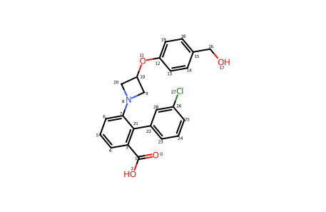 O=C(O)c1cccc(N2CC(Oc3ccc(CO)cc3)C2)c1-c1cccc(Cl)c1